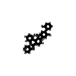 Cc1ccccc1-c1cc2[nH]c3c(ccc4c3c3ncccc3n3c5cnccc5nc43)c2cc1C